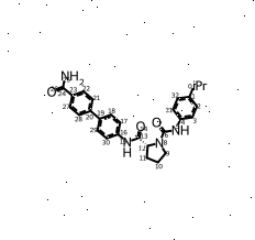 CC(C)c1ccc(NC(=O)N2CCC[C@@H]2C(=O)Nc2ccc(-c3ccc(C(N)=O)cc3)cc2)cc1